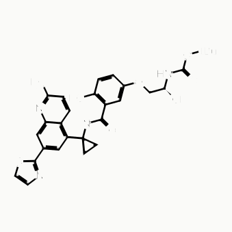 Cc1ccc2c(C3(NC(=O)c4cc(OC[C@H](C)NC(=O)OC(C)(C)C)ccc4C)CC3)cc(-c3nccs3)cc2n1